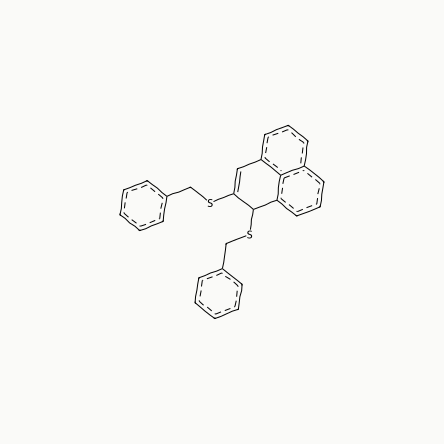 C1=C(SCc2ccccc2)C(SCc2ccccc2)c2cccc3cccc1c23